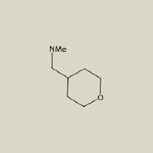 C[N]CC1CCOCC1